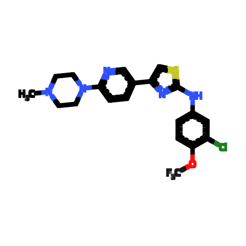 CN1CCN(c2ccc(-c3csc(Nc4ccc(OC(F)(F)F)c(Cl)c4)n3)cn2)CC1